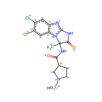 O=C(NC1(C(F)(F)F)C(=O)Nc2nc3cc(Cl)c(Cl)cc3n21)C1CCN(C(=O)O)C1